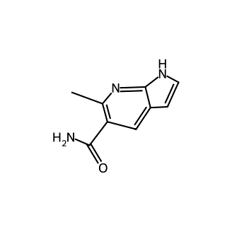 Cc1nc2[nH]ccc2cc1C(N)=O